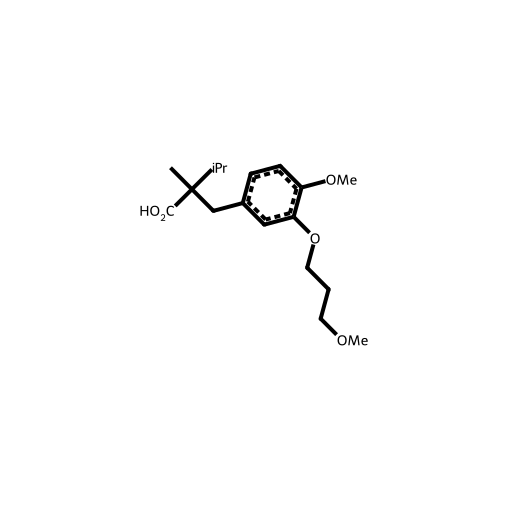 COCCCOc1cc(CC(C)(C(=O)O)C(C)C)ccc1OC